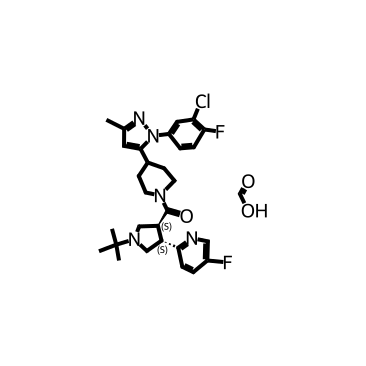 Cc1cc(C2CCN(C(=O)[C@@H]3CN(C(C)(C)C)C[C@H]3c3ccc(F)cn3)CC2)n(-c2ccc(F)c(Cl)c2)n1.O=CO